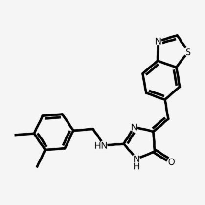 Cc1ccc(CNC2=N/C(=C\c3ccc4ncsc4c3)C(=O)N2)cc1C